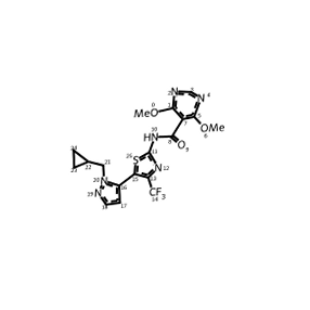 COc1ncnc(OC)c1C(=O)Nc1nc(C(F)(F)F)c(-c2ccnn2CC2CC2)s1